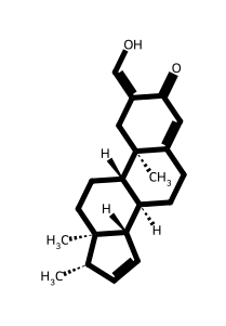 C[C@H]1C=C[C@H]2[C@@H]3CCC4=CC(=O)/C(=C\O)C[C@]4(C)[C@H]3CC[C@]12C